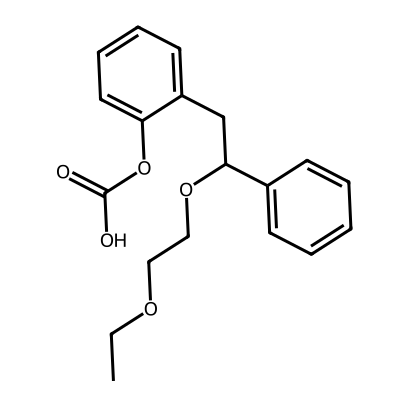 CCOCCOC(Cc1ccccc1OC(=O)O)c1ccccc1